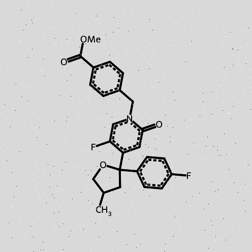 COC(=O)c1ccc(Cn2cc(F)c(C3(c4ccc(F)cc4)CC(C)CO3)cc2=O)cc1